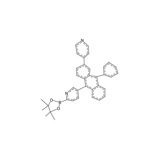 CC1(C)OB(c2ccc(-c3c4ccccc4c(-c4ccccc4)c4cc(-c5ccncc5)ccc34)cn2)OC1(C)C